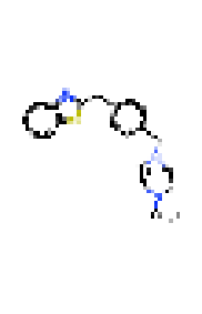 O=C(O)N1CC2CC1CN2Cc1ccc(Cc2nc3ccccc3s2)cc1